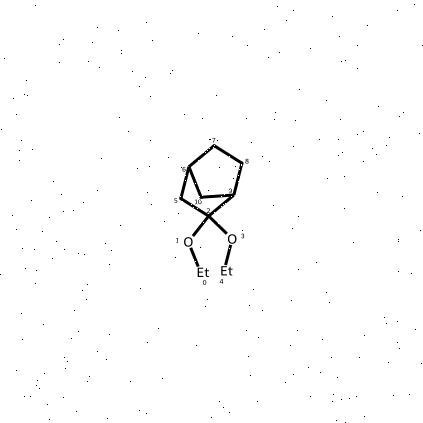 CCOC1(OCC)CC2CCC1C2